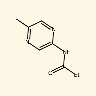 CCC(=O)Nc1cnc(C)cn1